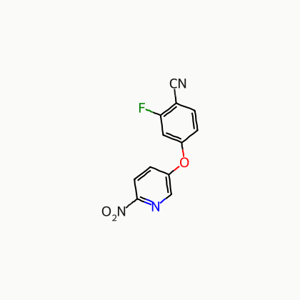 N#Cc1ccc(Oc2ccc([N+](=O)[O-])nc2)cc1F